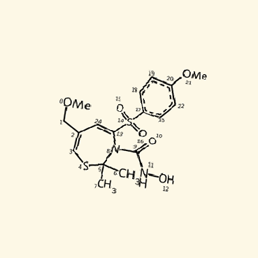 COCC1=CSC(C)(C)N(C(=O)NO)C(S(=O)(=O)c2ccc(OC)cc2)=C1